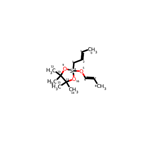 C/C=C/C[Si]1(O/C=C/C)OC(C)(C)C(C)(C)O1